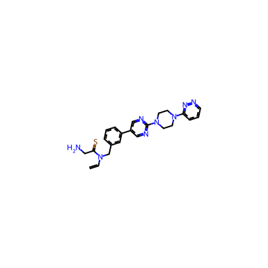 C=CN(Cc1cccc(-c2cnc(N3CCN(c4cccnn4)CC3)nc2)c1)C(=S)CN